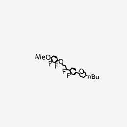 CCCCC1CCC(c2ccc(C(F)CCOc3ccc(OC)c(F)c3F)c(F)c2)OC1